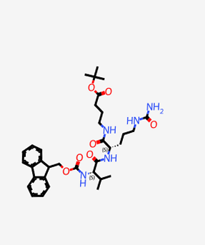 CC(C)[C@H](NC(=O)OCC1c2ccccc2-c2ccccc21)C(=O)N[C@@H](CCCNC(N)=O)C(=O)NCCCC(=O)OC(C)(C)C